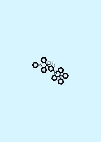 CC1(c2ccc(N3c4ccccc4C(c4ccccc4)(c4ccccc4)c4ccccc43)cc2)c2ccccc2N(c2ccccc2)c2ccccc21